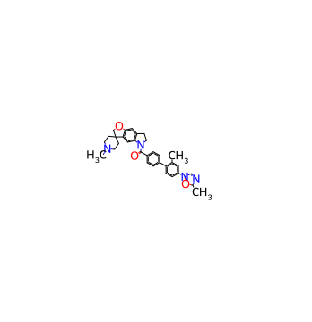 Cc1cc(N2C=NC(C)O2)ccc1-c1ccc(C(=O)N2CCc3cc4c(cc32)C2(CCN(C)CC2)CO4)cc1